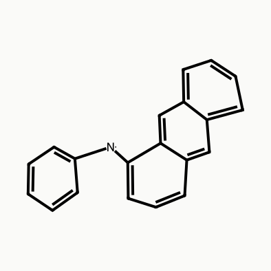 c1ccc([N]c2cccc3cc4ccccc4cc23)cc1